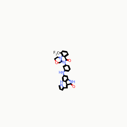 O=C1Nc2cc(Nc3cccc(NC(=O)c4cccc(C(F)(F)F)c4N4CCOCC4)c3)ccc2C1=Cc1ccc[nH]1